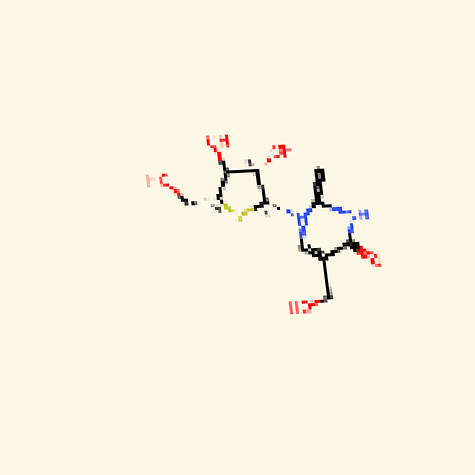 C=C1NC(=O)C(CO)=CN1[C@@H]1S[C@H](CO)C(O)[C@@H]1O